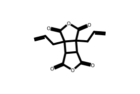 C=CCC12C(=O)OC(=O)C1(CC=C)C1C(=O)OC(=O)C12